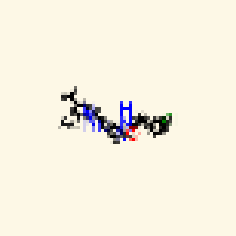 CC(=O)c1cc(C2CC2)cn2cc(CNc3ccnc(NC(=O)[C@H]4C[C@@H]4c4cccc(Cl)c4)c3)nc12